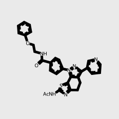 CC(=O)Nc1nc2c(s1)-c1c(c(-c3cccnc3)nn1-c1ccc(C(=O)NCCOc3ccccc3)cc1)CC2